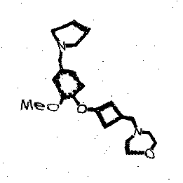 COc1cc(CN2CCCC2)ccc1OC1CC(CN2CCOCC2)C1